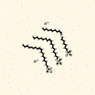 CCCCCCCC/C=C\CCCCCCCCOP(=O)([O-])[O-].CCCCCCCC/C=C\CCCCCCCCOP(=O)([O-])[O-].CCCCCCCC/C=C\CCCCCCCCOP(=O)([O-])[O-].[Al+3].[Al+3]